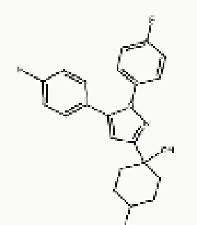 OC1CCC(O)(c2cc(-c3ccc(F)cc3)n(-c3ccc(F)cc3)n2)CC1